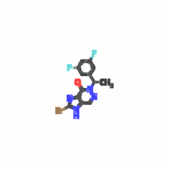 CC(c1cc(F)cc(F)c1)n1ncc2[nH]c(Br)nc2c1=O